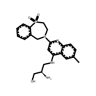 Cc1ccc2nc(N3CCS(=O)(=O)c4ccccc4C3)cc(NC[C@@H](N)CO)c2c1